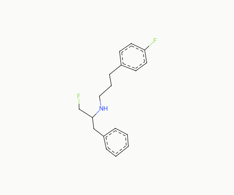 FCC(Cc1ccccc1)NCCCc1ccc(F)cc1